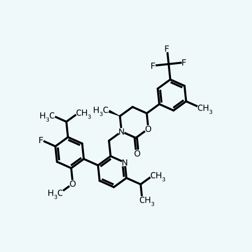 COc1cc(F)c(C(C)C)cc1-c1ccc(C(C)C)nc1CN1C(=O)OC(c2cc(C)cc(C(F)(F)F)c2)C[C@@H]1C